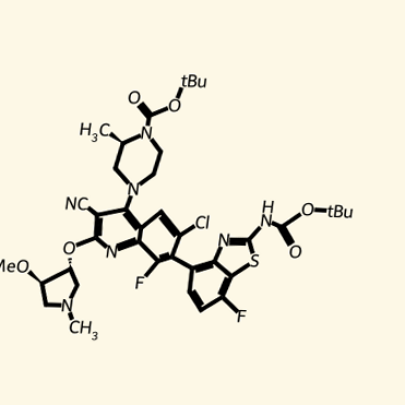 CO[C@@H]1CN(C)C[C@H]1Oc1nc2c(F)c(-c3ccc(F)c4sc(NC(=O)OC(C)(C)C)nc34)c(Cl)cc2c(N2CCN(C(=O)OC(C)(C)C)[C@H](C)C2)c1C#N